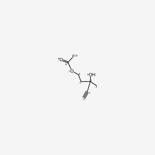 C#CC(C)(O)CCOC(=O)F